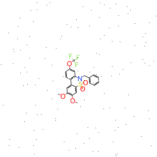 COc1cc2c(cc1OC)S(=O)(=O)N(Cc1ccccc1)c1cc(OC(F)(F)F)ccc1-2